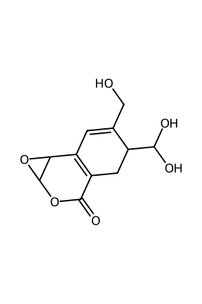 O=C1OC2OC2C2=C1CC(C(O)O)C(CO)=C2